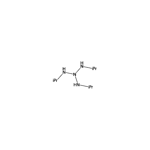 CC(C)NN(NC(C)C)NC(C)C